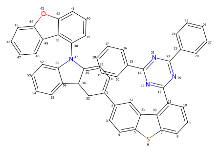 C1=C(c2ccc3sc4cccc(-c5nc(-c6ccccc6)nc(-c6ccccc6)n5)c4c3c2)CC2C(=C1)N(c1cccc3oc4ccccc4c13)c1ccccc12